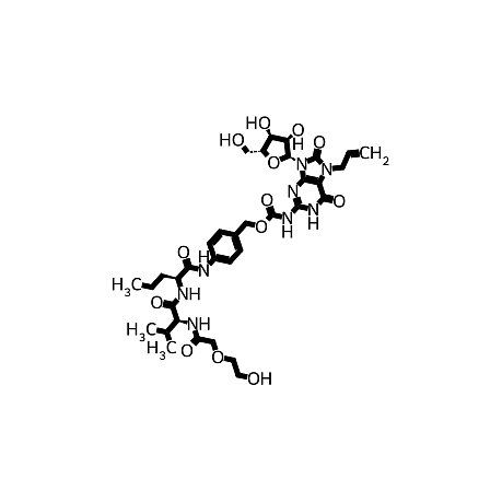 C=CCn1c(=O)n([C@@H]2O[C@H](CO)[C@@H](O)[C@H]2O)c2nc(NC(=O)OCc3ccc(NC(=O)[C@H](CCC)NC(=O)[C@@H](NC(=O)COCCO)C(C)C)cc3)[nH]c(=O)c21